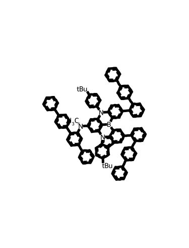 CN(c1cc2c3c(c1)-n1c4ccc(C(C)(C)C)cc4c4cc(-c5ccccc5-c5ccc(-c6ccccc6)cc5)cc(c41)B3c1cc(-c3ccccc3-c3ccc(-c4ccccc4)cc3)ccc1N2c1ccc(C(C)(C)C)cc1)c1cc(-c2ccccc2)ccc1-c1ccc(-c2ccccc2)cc1